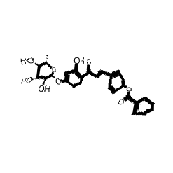 C[C@@H]1O[C@H](Oc2ccc(C(=O)/C=C/c3ccc(OC(=O)c4ccccc4)cc3)c(O)c2)[C@@H](O)[C@H](O)[C@H]1O